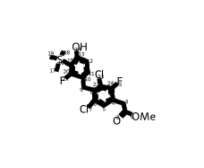 COC(=O)Cc1cc(Cl)c(Cc2ccc(O)c(S(C)(C)C)c2F)c(Cl)c1F